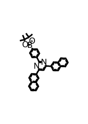 CC1(C)OB(c2ccc(-c3nc(-c4ccc5ccccc5c4)cc(-c4ccc5ccccc5c4)n3)cc2)OC1(C)C